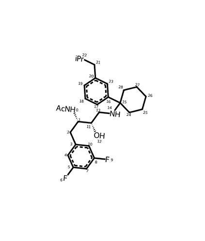 CC(=O)N[C@@H](Cc1cc(F)cc(F)c1)[C@@H](O)CNC1(c2cccc(CC(C)C)c2)CCCCC1